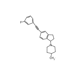 [CH2]C1CCN(C2CCc3cc(C#Cc4cccc(F)c4)ccc32)CC1